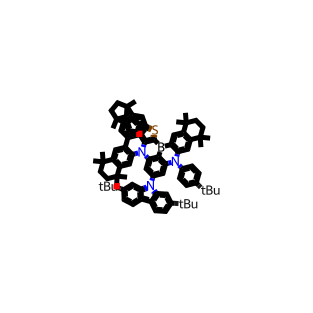 CC(C)(C)c1ccc(N2c3cc4c(cc3B3c5sc6cc7c(cc6c5N(c5cc6c(cc5-c5ccccc5)C(C)(C)CCC6(C)C)c5cc(-n6c8cc(C(C)(C)C)ccc8c8ccc(C(C)(C)C)cc86)cc2c53)C2(C)CCC7(C)C2)C(C)(C)CCC4(C)C)cc1